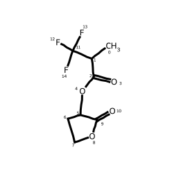 CC(C(=O)OC1CCOC1=O)C(F)(F)F